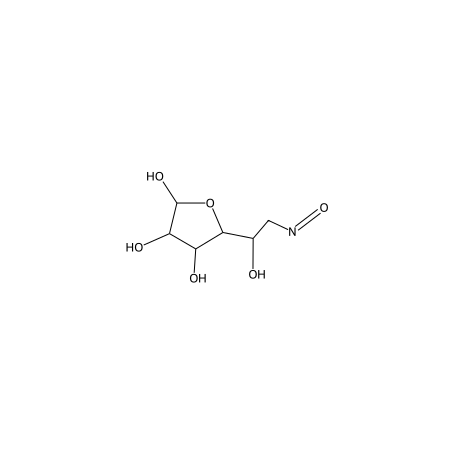 O=NCC(O)C1OC(O)C(O)C1O